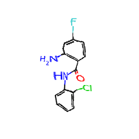 Nc1cc(F)ccc1C(=O)Nc1ccccc1Cl